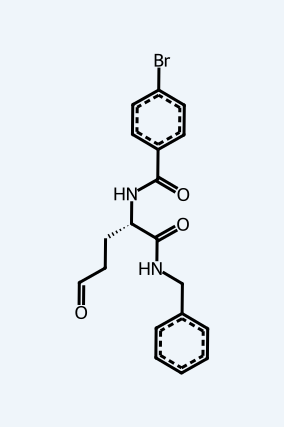 O=CCC[C@H](NC(=O)c1ccc(Br)cc1)C(=O)NCc1ccccc1